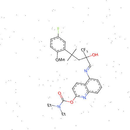 CCN(CC)C(=O)Oc1ccc2c(N=CC(O)(CC(C)(C)c3cc(F)ccc3OC)C(F)(F)F)cccc2n1